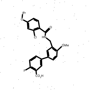 COc1ccc(-c2ccc(F)c(C(=O)O)c2)cc1CNC(=O)c1ccc(OC(C)C)cc1Cl